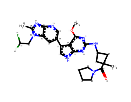 COc1nc(NC2CC(C)(C(=O)N3CCCC3)C2)nc2[nH]cc(-c3cnc4nc(C)n(CC(F)F)c4c3)c12